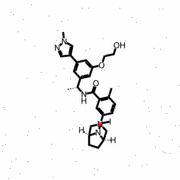 Cc1ccc(N2C[C@H]3CC[C@@H](C2)N3CI)cc1C(=O)N[C@H](C)c1cc(OCCO)cc(-c2cnn(C)c2)c1